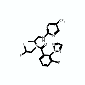 C[C@@H](CNc1ncc(C(F)(F)F)cn1)N(CC(F)F)C(=O)c1cccc(F)c1-n1nccn1